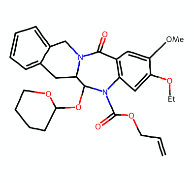 C=CCOC(=O)N1c2cc(OCC)c(OC)cc2C(=O)N2Cc3ccccc3CC2C1OC1CCCCO1